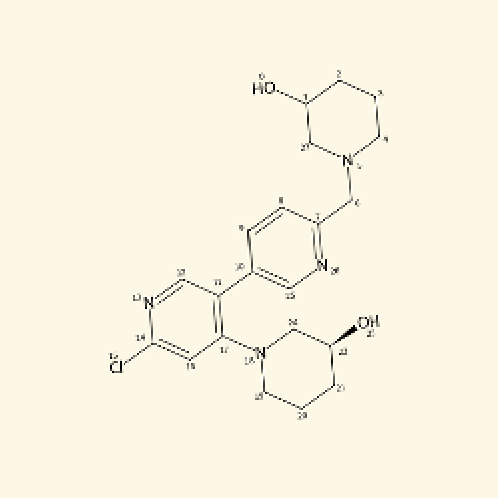 OC1CCCN(Cc2ccc(-c3cnc(Cl)cc3N3CCC[C@H](O)C3)cn2)C1